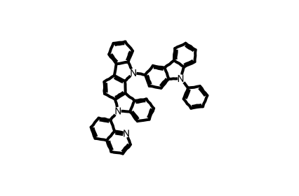 c1ccc(-n2c3ccccc3c3cc(-n4c5ccccc5c5ccc6c(c7ccccc7n6-c6cccc7cccnc67)c54)ccc32)cc1